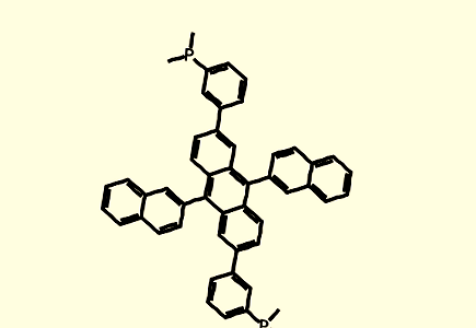 CP(C)c1cccc(-c2ccc3c(-c4ccc5ccccc5c4)c4cc(-c5cccc(P(C)(C)=O)c5)ccc4c(-c4ccc5ccccc5c4)c3c2)c1